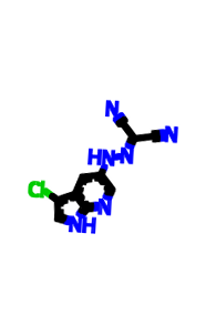 N#CC(C#N)=NNc1cnc2[nH]cc(Cl)c2c1